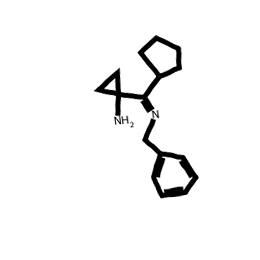 NC1(/C(=N\Cc2ccccc2)C2CCCC2)CC1